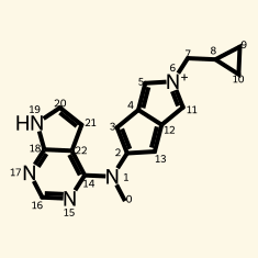 CN(C1=CC2=C[N+](CC3CC3)=CC2=C1)c1ncnc2[nH]ccc12